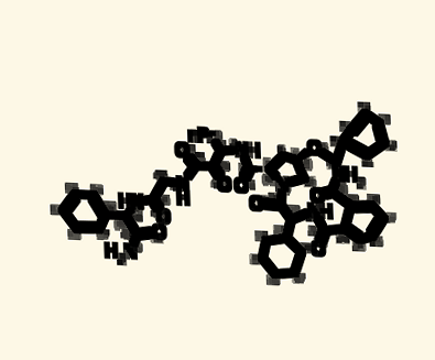 CCCC(NC(=O)[C@@H]1C[C@@H](OCc2ccccc2)CN1C(=O)C(NC(=O)c1ccccc1C(N)=O)C1CCCCC1)C(=O)C(=O)NCC(=O)N[C@@H](C(N)=O)c1ccccc1